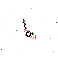 Oc1ccc(OCCCCC(F)(F)F)cc1Cl